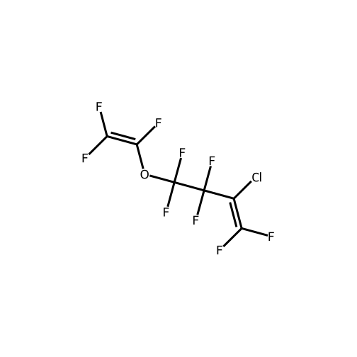 FC(F)=C(F)OC(F)(F)C(F)(F)C(Cl)=C(F)F